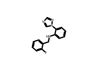 Fc1ccccc1CNc1ccccc1-n1cncn1